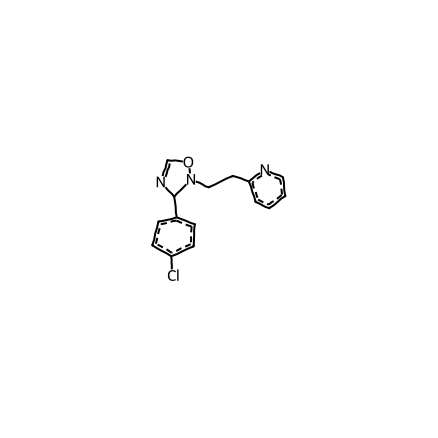 Clc1ccc(C2N=CON2CCc2ccccn2)cc1